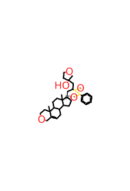 CC12CCOCC1=CCC1C2CCC2(C)C1CC[C@@H]2CC(CC1(O)CCOC1)S(=O)(=O)c1ccccc1